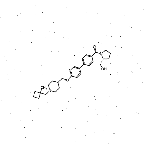 CC1(CN2CCC(COc3ccc(-c4ccc(C(=O)N5CCC[C@@H]5CO)cc4)cn3)CC2)CCC1